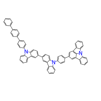 c1ccc(-c2ccc(-c3ccc(-n4c5ccccc5c5cc(-c6ccc7c(c6)c6ccccc6n7-c6ccc(-c7cc8c9ccccc9n9c%10ccccc%10c(c7)c89)cc6)ccc54)cc3)cc2)cc1